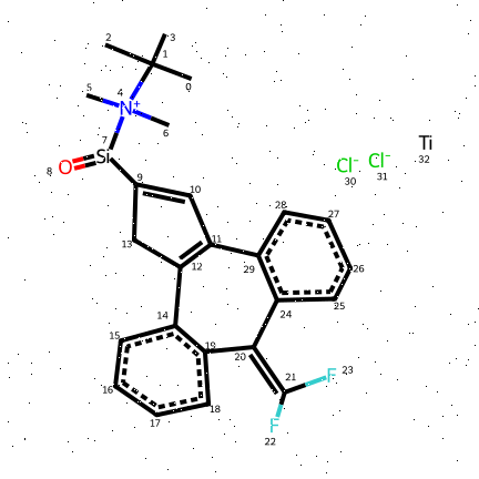 CC(C)(C)[N+](C)(C)[Si](=O)C1=CC2=C(C1)c1ccccc1C(=C(F)F)c1ccccc12.[Cl-].[Cl-].[Ti]